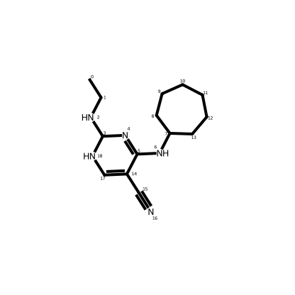 CCNC1N=C(NC2CCCCCC2)C(C#N)=CN1